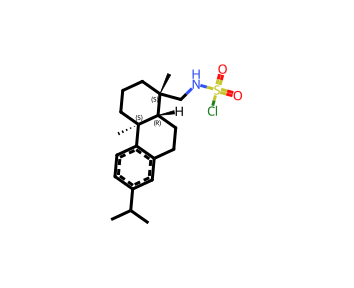 CC(C)c1ccc2c(c1)CC[C@H]1[C@@](C)(CNS(=O)(=O)Cl)CCC[C@]21C